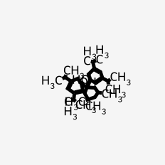 CC1CC(C)(C)CC(C2(O)C=C(C(C)C)C=C(C(C)C)C2)(C2(O)C=C(C(C)C)C=C(C(C)C)C2)C1